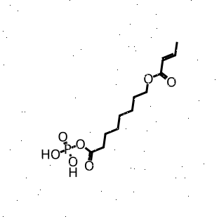 CC=CC(=O)OCCCCCCCC(=O)OP(=O)(O)O